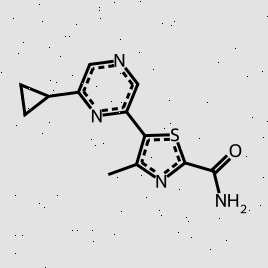 Cc1nc(C(N)=O)sc1-c1cncc(C2CC2)n1